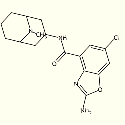 CN1C2CCCC1CC(NC(=O)c1cc(Cl)cc3oc(N)nc13)C2